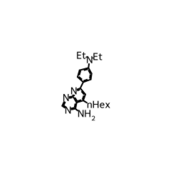 CCCCCCc1cc(-c2ccc(N(CC)CC)cc2)nc2ncnc(N)c12